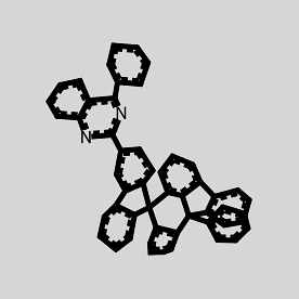 c1ccc(-c2nc(-c3ccc4c(c3)-c3ccccc3C43c4ccccc4C4(c5ccccc5)c5ccccc5-c5cccc3c54)nc3ccccc23)cc1